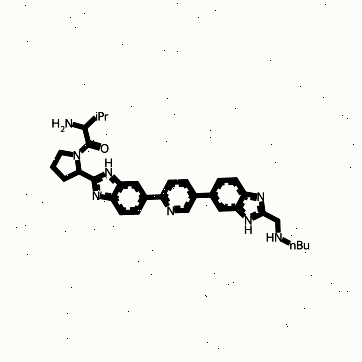 CCCCNCc1nc2ccc(-c3ccc(-c4ccc5nc(C6CCCN6C(=O)C(N)C(C)C)[nH]c5c4)nc3)cc2[nH]1